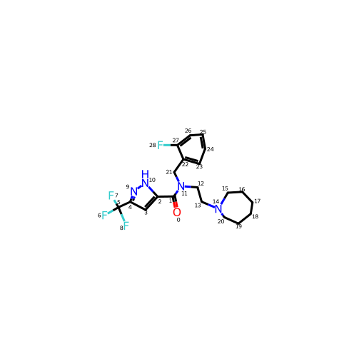 O=C(c1cc(C(F)(F)F)n[nH]1)N(CCN1CCCCCC1)Cc1ccccc1F